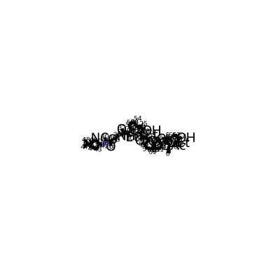 C#CCC[C@](C)(O[C@H]1O[C@]2(C=C[C@H]1OC(C)=O)O[C@H]([C@@H](CC)C(=O)[C@@H](C)[C@@H](O)[C@H](C)[C@@H]1O[C@@H](C(CC)C(=O)NCCOC(=O)/C(C#N)=C/c3ccc(N(C)C)cc3)CC[C@@H]1C)[C@@H](C)C[C@H]2C)[C@H]1CC[C@](O)(CC)[C@H](C)O1